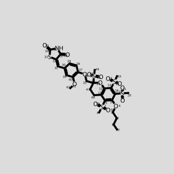 CCCCOc1c(S(C)(=O)=O)c2c(c(S(C)(=O)=O)c1S(C)(=O)=O)OC(COc1ccc(/C=C3/SC(=O)NC3=O)cc1OC)(S(C)(=O)=O)CC2